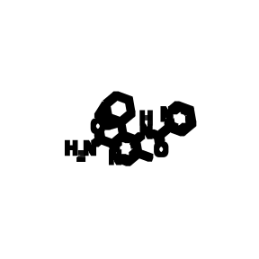 Cc1cnc(C(N)=O)c(C23CCCC(CC2)C3)c1NC(=O)c1ccccn1